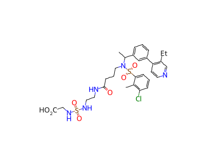 CCc1cnccc1-c1cccc(C(C)N(CCCC(=O)NCCNS(=O)(=O)NCC(=O)O)S(=O)(=O)c2cccc(Cl)c2C)c1